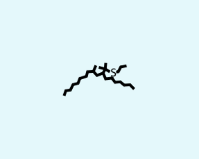 CCCCCCCCC(C)CC(CC(CCCCC)SCCC)C(C)(C)C